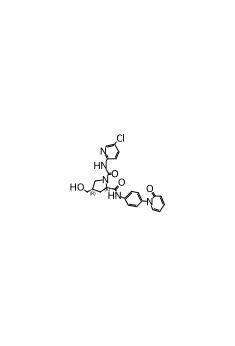 O=C(Nc1ccc(-n2ccccc2=O)cc1)[C@H]1C[C@@H](CO)CN1C(=O)Nc1ccc(Cl)cn1